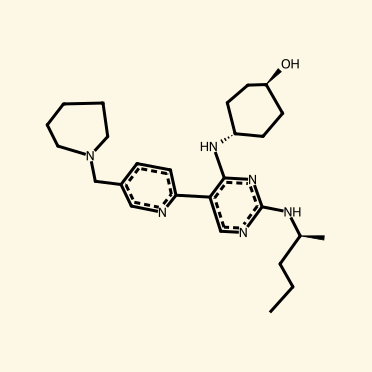 CCC[C@H](C)Nc1ncc(-c2ccc(CN3CCCCC3)cn2)c(N[C@H]2CC[C@H](O)CC2)n1